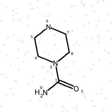 NC(=O)N1CC[N]CC1